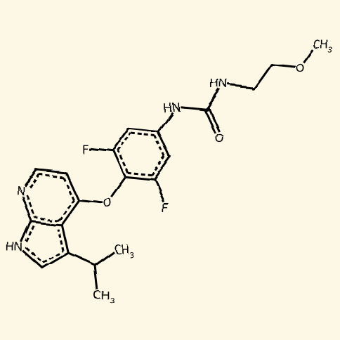 COCCNC(=O)Nc1cc(F)c(Oc2ccnc3[nH]cc(C(C)C)c23)c(F)c1